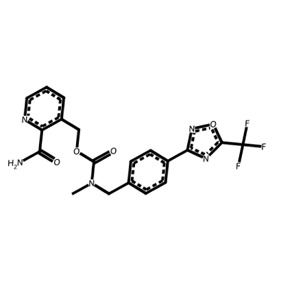 CN(Cc1ccc(-c2noc(C(F)(F)F)n2)cc1)C(=O)OCc1cccnc1C(N)=O